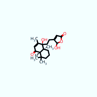 CC1=CC(=O)[C@H]2C(C)(C)CCC[C@]2(C)[C@@]1(O)CCC1=CC(=O)OC1O